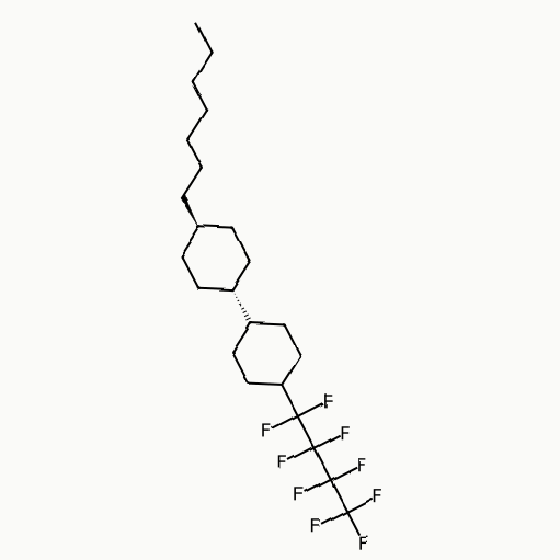 CCCCCCC[C@H]1CC[C@H](C2CCC(C(F)(F)C(F)(F)C(F)(F)C(F)(F)F)CC2)CC1